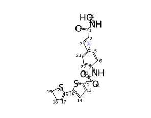 O=C(/C=C/c1ccc(NS(=O)(=O)c2ccc(C3=CCCS3)s2)cc1)NO